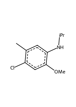 COc1cc(Cl)c(C)cc1NC(C)C